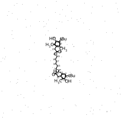 Cc1cc(C(C)(C)C)c(O)c(C)c1CC(=O)OCCCCCCOC(=O)Cc1c(C)cc(C(C)(C)C)c(O)c1C